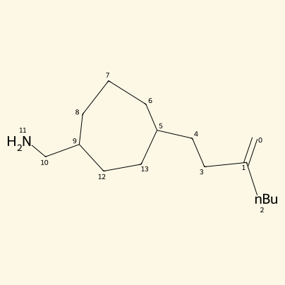 C=C(CCCC)CCC1CCCC(CN)CC1